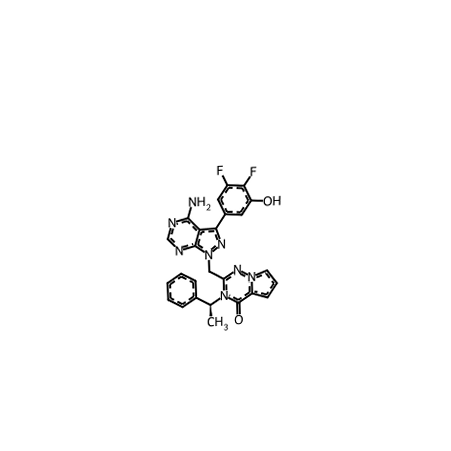 C[C@@H](c1ccccc1)n1c(Cn2nc(-c3cc(O)c(F)c(F)c3)c3c(N)ncnc32)nn2cccc2c1=O